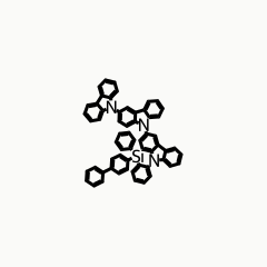 c1ccc(-c2ccc([Si]3(c4ccccc4)c4ccccc4-n4c5ccccc5c5cc(-n6c7ccccc7c7cc(-n8c9ccccc9c9ccccc98)ccc76)cc3c54)cc2)cc1